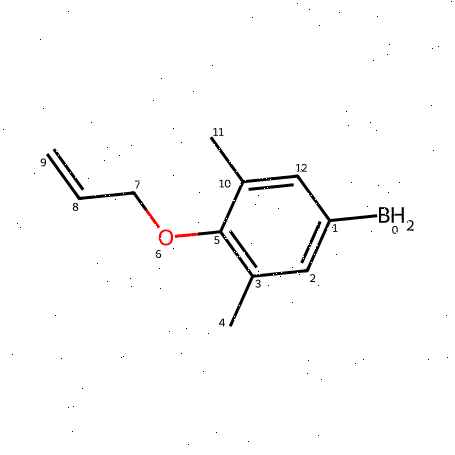 Bc1cc(C)c(OCC=C)c(C)c1